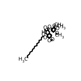 CCCCCCCCCCCCCCCC(=O)O[C@H]1c2cc3c(cc2[C@@H](c2cc(OC)c(OC)c(OC)c2)[C@@H]2C(=O)OC[C@@H]21)OCO3